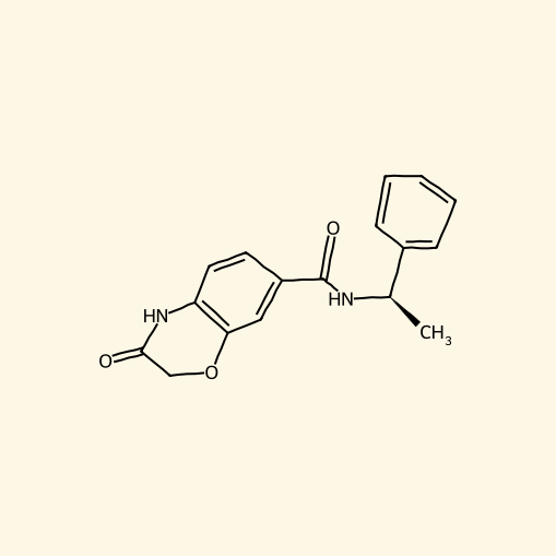 C[C@@H](NC(=O)c1ccc2c(c1)OCC(=O)N2)c1ccccc1